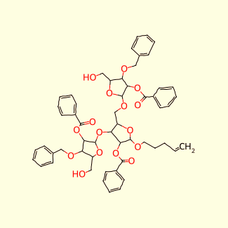 C=CCCCOC1OC(COC2OC(CO)C(OCc3ccccc3)C2OC(=O)c2ccccc2)C(OC2OC(CO)C(OCc3ccccc3)C2OC(=O)c2ccccc2)C1OC(=O)c1ccccc1